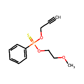 C#CCOP(=S)(OCCOC)c1ccccc1